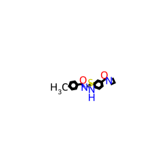 Cc1ccc(C(=O)/N=c2/[nH]c3ccc(C(=O)N4CCC4)cc3s2)cc1